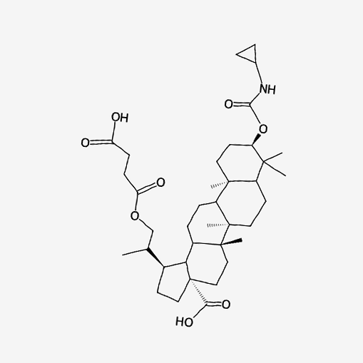 CC(COC(=O)CCC(=O)O)[C@@H]1CC[C@]2(C(=O)O)CC[C@]3(C)C(CCC4[C@@]5(C)CC[C@@H](OC(=O)NC6CC6)C(C)(C)C5CC[C@]43C)C12